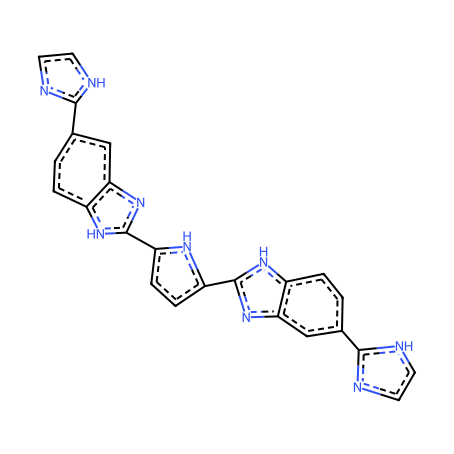 c1c[nH]c(-c2ccc3[nH]c(-c4ccc(-c5nc6cc(-c7ncc[nH]7)ccc6[nH]5)[nH]4)nc3c2)n1